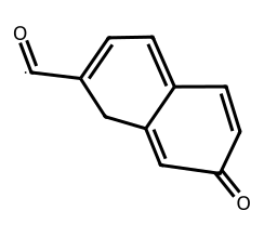 O=[C]C1=CC=C2C=CC(=O)C=C2C1